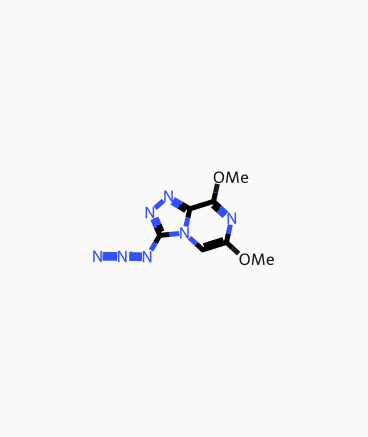 COc1cn2c(N=[N+]=[N-])nnc2c(OC)n1